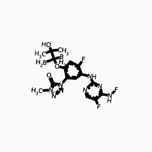 BC(B)(Oc1cc(F)c(Nc2ncc(F)c(NF)n2)cc1-n1nnn(C)c1=O)C(C)(C)O